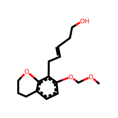 COCOc1ccc2c(c1CC=CCCO)OCCC2